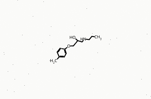 [CH2]c1ccc(OCC(O)CNCCC)cc1